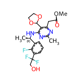 COC(=O)Cc1nc(C)nc(N[C@H](C)c2cccc(C(F)(F)CO)c2F)c1C1OCCO1